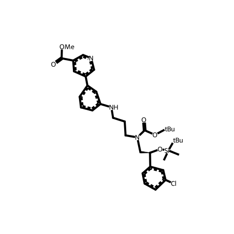 COC(=O)c1cncc(-c2cccc(NCCCN(C[C@@H](O[Si](C)(C)C(C)(C)C)c3cccc(Cl)c3)C(=O)OC(C)(C)C)c2)c1